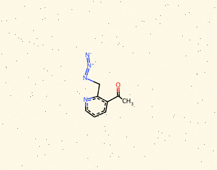 CC(=O)c1cccnc1CN=[N+]=[N-]